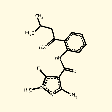 C=C(CC(C)C)c1ccccc1NC(=O)c1c(C)nn(C)c1F